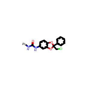 CC(C)NC(=O)Nc1ccc2c(c1)OC(CCl)(c1ccccc1)O2